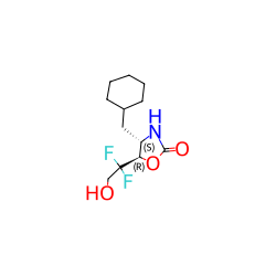 O=C1N[C@@H](CC2CCCCC2)[C@H](C(F)(F)CO)O1